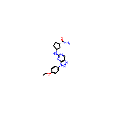 CCOc1ccc(-n2nnc3cnc(N[C@@H]4CC[C@H](C(N)=O)C4)nc32)cc1